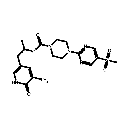 CC(Cc1c[nH]c(=O)c(C(F)(F)F)c1)OC(=O)N1CCN(c2ncc(S(C)(=O)=O)cn2)CC1